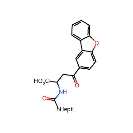 CCCCCCCC(=O)NC(CC(=O)c1ccc2oc3ccccc3c2c1)C(=O)O